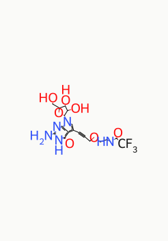 Nc1nc2c(c(C#CCOCCNC(=O)C(F)(F)F)cn2C2OC(CO)C(O)C2O)c(=O)[nH]1